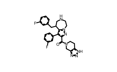 O=C(c1nn2c(c1-c1cccc(F)c1)C(Cc1cccc(F)c1)CNCC2)N1CCc2[nH]nnc2C1